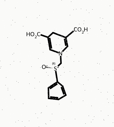 O=C(O)C1=CN(C[S@@+]([O-])c2ccccc2)C=C(C(=O)O)C1